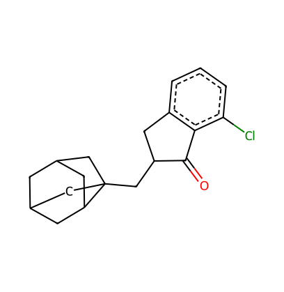 O=C1c2c(Cl)cccc2CC1CC12CC3CC(CC1C3)C2